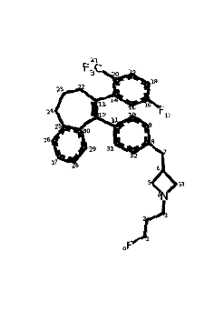 FCCCN1CC(Cc2ccc(C3=C(c4cc(F)ccc4C(F)(F)F)CCCc4ccccc43)cc2)C1